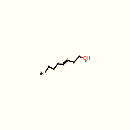 CC(C)CCCC=CCCO